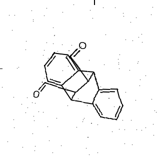 O=[C]C1C2c3ccccc3C(c3ccccc32)C1[C]=O